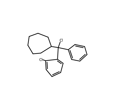 Clc1ccccc1C(Cl)(c1ccccc1)C1CCCCCC1